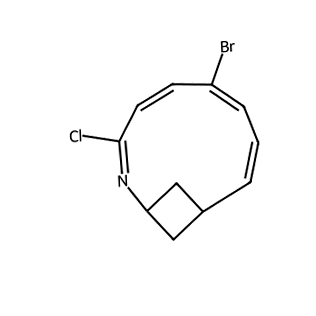 ClC1=NC2CC(C=CC=C(Br)C=C1)C2